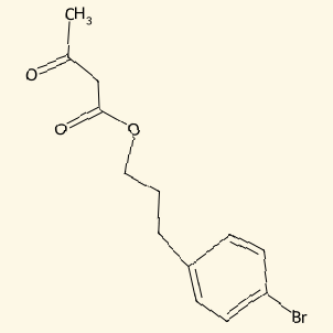 CC(=O)CC(=O)OCCCc1ccc(Br)cc1